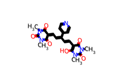 CN1C(=O)C(=CC=C(C=Cc2c(O)n(C)c(=O)n(C)c2=O)c2ccncc2)C(=O)N(C)C1=O